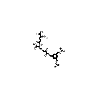 COC(=O)[C@H](CSCC(=O)C(=O)OCc1cc(CO[N+](=O)[O-])cc(CO[N+](=O)[O-])c1)NC(=O)CC[C@H](N)C(=O)O